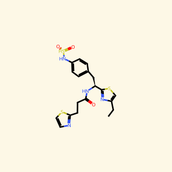 CCc1csc([C@H](Cc2ccc(N[SH](=O)=O)cc2)NC(=O)CCc2nccs2)n1